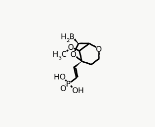 B[C@@H]1O[C@@]2(/C=C/P(=O)(O)O)CCOC1C2OC